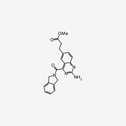 COC(=O)CCc1ccc2nc(N)nc(C(=O)N3Cc4ccccc4C3)c2c1